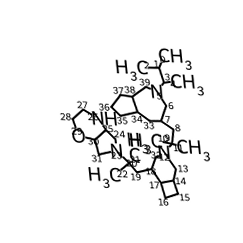 CC(C)C(C)N1CC(CC(C)(C)N2CC3CCC3C(CC(C)(C)N3CC4NCCOC4C3)C2)CC2CCCC2C1